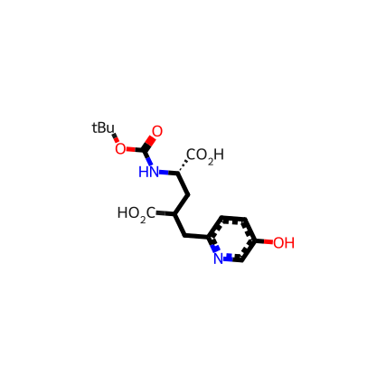 CC(C)(C)OC(=O)N[C@@H](CC(Cc1ccc(O)cn1)C(=O)O)C(=O)O